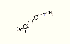 C/C=C/CCc1ccc(C2CC=C(c3ccc(OCC)c(Cl)c3F)CC2)cc1